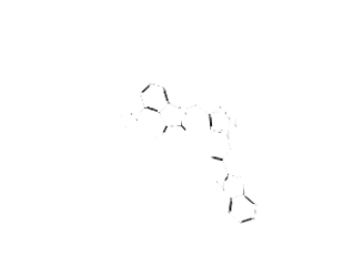 O=C(Cn1cc(CN2C(=O)C(=O)c3c2cccc3[N+](=O)[O-])nn1)c1nc2ccccc2s1